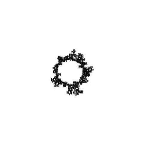 CCCC[C@H]1C(=O)N(C)[C@@H](CCCC)C(=O)N[C@@H](CCCNC(=N)N)C(=O)N[C@H](C(=O)NCC(N)=O)CSCC(=O)N[C@@H](Cc2ccccc2)C(=O)N(C)[C@@H](C)C(=O)NCC(=O)N2CCC[C@H]2C(=O)N[C@@H](Cc2cnc[nH]2)C(=O)N[C@@H](CC(C)C)C(=O)N[C@@H](CCNC(=O)C2CCC2)C(=O)N[C@@H](Cc2c[nH]c3ccccc23)C(=O)N[C@@H](CO)C(=O)N[C@@H](Cc2c[nH]c3ccccc23)C(=O)N1C